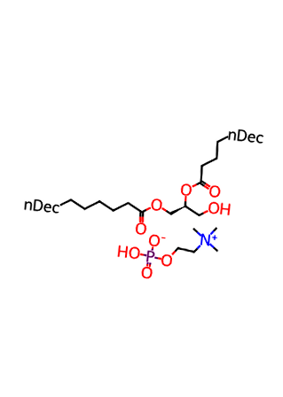 CCCCCCCCCCCCCCCC(=O)OC[C@H](CO)OC(=O)CCCCCCCCCCCCC.C[N+](C)(C)CCOP(=O)([O-])O